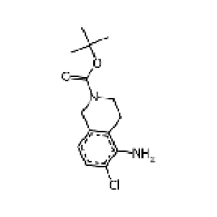 CC(C)(C)OC(=O)N1CCc2c(ccc(Cl)c2N)C1